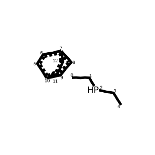 CCPCC.c1cc2ccc1cc2